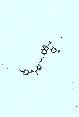 O=C(NCc1ccc(CF)nc1)c1cn(CCCCc2cc3c(-c4ccc(F)cc4F)c(C4CC4)[nH]c3nn2)nn1